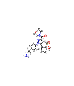 CN(C)CC(C)(C)c1ccc(-n2nc(C(=O)N3CCOCC3)c3c2-c2ccccc2S(=O)(=O)C3)cc1